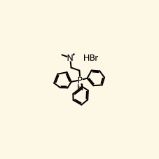 Br.CN(C)CC[PH](c1ccccc1)(c1ccccc1)c1ccccc1